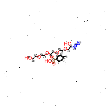 Cc1ccc(S(=O)(=O)O)cc1.[N-]=[N+]=NC(O)COCCOCCOCCOCCO